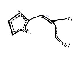 N=C/C(Cl)=C\c1ncc[nH]1